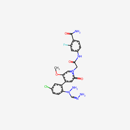 COc1cn(CC(=O)Nc2ccc(C(N)=O)c(F)c2)c(=O)cc1-c1cc(Cl)ccc1N(N)/C=N\N